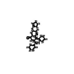 Cc1nc2c(cc1Cn1cccc1)c(=O)cc(Nc1ccccc1)n2-c1ccccc1